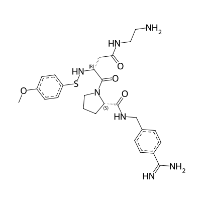 COc1ccc(SN[C@H](CC(=O)NCCN)C(=O)N2CCC[C@H]2C(=O)NCc2ccc(C(=N)N)cc2)cc1